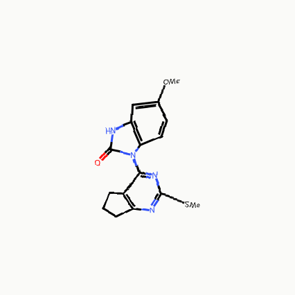 COc1ccc2c(c1)[nH]c(=O)n2-c1nc(SC)nc2c1CCC2